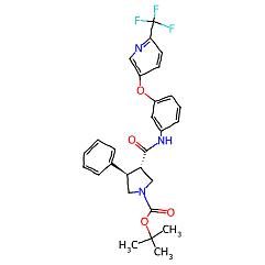 CC(C)(C)OC(=O)N1C[C@@H](C(=O)Nc2cccc(Oc3ccc(C(F)(F)F)nc3)c2)[C@H](c2ccccc2)C1